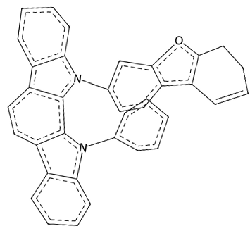 C1=Cc2c(oc3cc(-n4c5ccccc5c5ccc6c7ccccc7n(-c7ccccc7)c6c54)ccc23)CC1